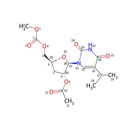 COC(=O)OC[C@@H]1C[C@@H](OC(C)=O)[C@H](n2cc(C(C)C)c(=O)[nH]c2=O)O1